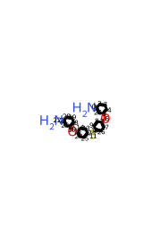 Nc1cccc(Oc2ccc(Sc3ccc(Oc4cccc(N)c4)cc3)cc2)c1